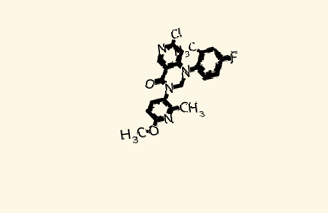 COc1ccc(N2CN(c3ccc(F)cc3C)c3cc(Cl)ncc3C2=O)c(C)n1